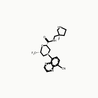 N#Cc1ccc(N2C[C@@H](C(=O)NC[C@]3(F)CCNC3)O[C@@H](C(F)(F)F)C2)c2nccnc12